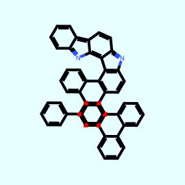 c1ccc(-c2ccccc2-c2ccccc2-c2c(-c3cccc4c5ccccc5c5ccccc5c34)ccc3c2-c2c4c(ccc2=N3)=c2ccccc2=N4)cc1